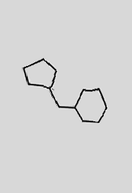 C1CCC(C[C]2CCCC2)CC1